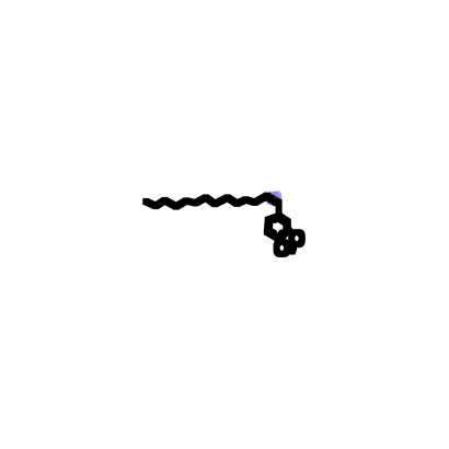 CCCCCCCCCCCC/C=C\c1ccc2c(c1)OCO2